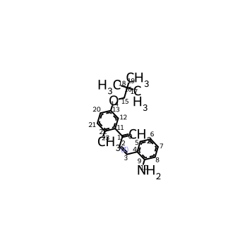 C=C(/C=C\c1ccccc1N)c1cc(OCC(C)(C)C)ccc1C